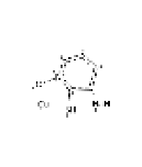 [Cu].[NaH].[O-][n+]1ccccc1S